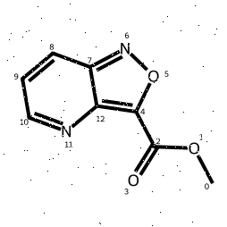 COC(=O)c1onc2cccnc12